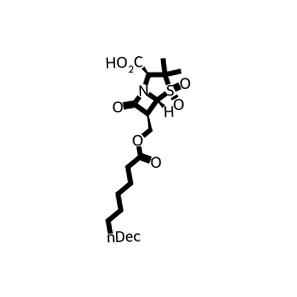 CCCCCCCCCCCCCCCC(=O)OC[C@H]1C(=O)N2[C@@H](C(=O)O)C(C)(C)S(=O)(=O)[C@H]12